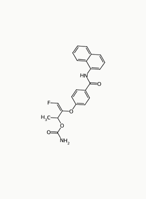 CC(OC(N)=O)C(=CF)Oc1ccc(C(=O)Nc2cccc3ccccc23)cc1